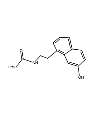 CCCCCCC(=O)NCCc1cccc2ccc(O)cc12